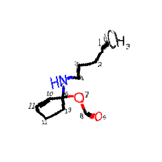 CCCCCNC1(OC=O)C=CCC1